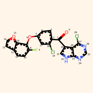 O=C(c1ccc(Oc2c(F)ccc3ccoc23)cc1Cl)c1c[nH]c2ncnc(Cl)c12